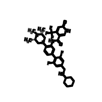 C[C@@H]1CN(c2ccc(-c3c(F)cc(CNC4CCCCC4)cc3F)cc2NC(=O)c2c[nH]c(=O)cc2C(F)(F)F)C[C@H](C)N1C